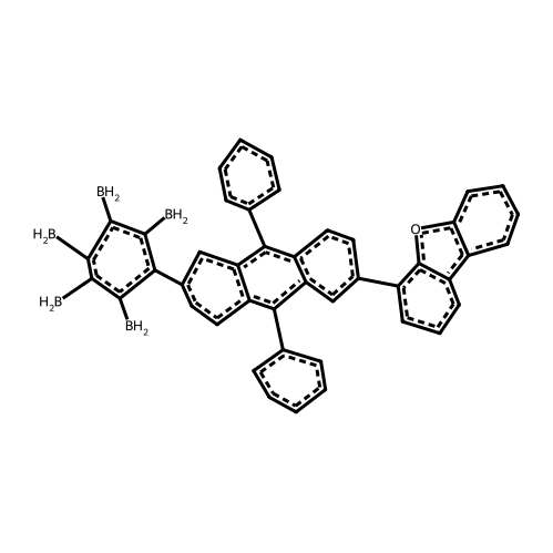 Bc1c(B)c(B)c(-c2ccc3c(-c4ccccc4)c4cc(-c5cccc6c5oc5ccccc56)ccc4c(-c4ccccc4)c3c2)c(B)c1B